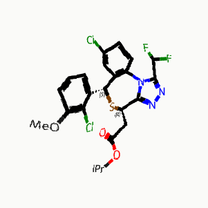 COc1cccc([C@H]2S[C@H](CC(=O)OC(C)C)c3nnc(C(F)F)n3-c3ccc(Cl)cc32)c1Cl